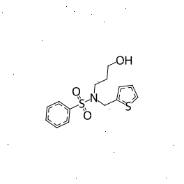 O=S(=O)(c1ccccc1)N(CCCO)Cc1cccs1